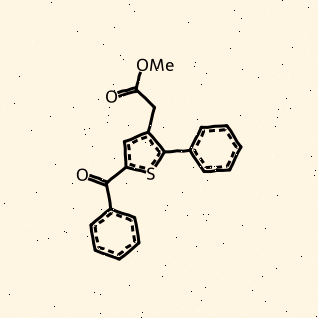 COC(=O)Cc1cc(C(=O)c2ccccc2)sc1-c1ccccc1